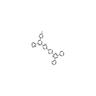 Cc1ccc(-c2cc(-c3ccccn3)nc(-c3ccc(-c4ccc(-c5nc(-c6ccccc6)cc(-c6ccccc6)n5)cc4)cn3)c2)cc1